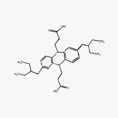 CCC(CC)Cc1ccc2c(c1)N(CCC(=O)O)c1ccc(CC(CC)CC)cc1N2CCC(=O)O